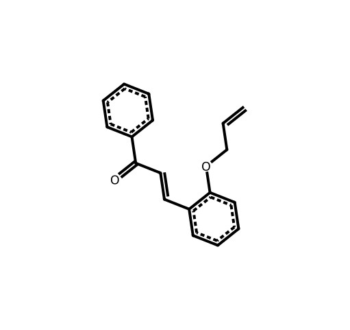 C=CCOc1ccccc1/C=C/C(=O)c1ccccc1